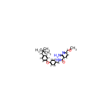 COCc1ccc(C(=O)NCc2ccc(Oc3ccc(CC(C)(C)C)cc3)cc2)c(N)n1